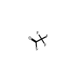 O=C([S])C(F)(F)F